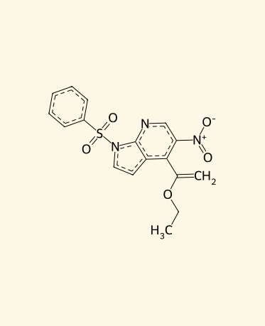 C=C(OCC)c1c([N+](=O)[O-])cnc2c1ccn2S(=O)(=O)c1ccccc1